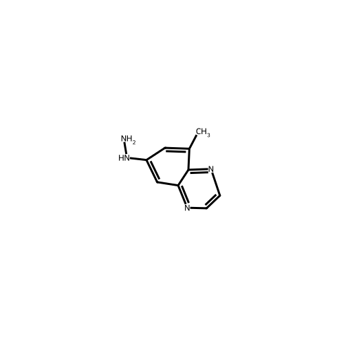 Cc1cc(NN)cc2nccnc12